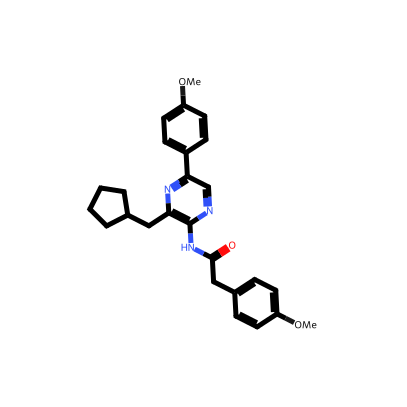 COc1ccc(CC(=O)Nc2ncc(-c3ccc(OC)cc3)nc2CC2CCCC2)cc1